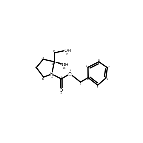 O=C(OCc1ccccc1)N1CCC[C@]1(O)CO